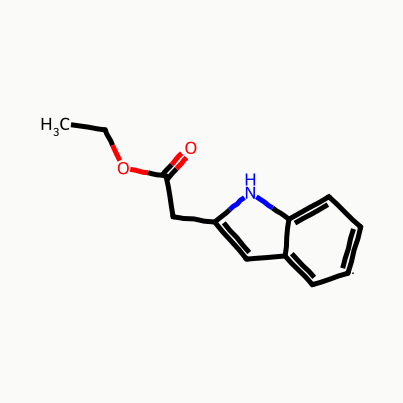 CCOC(=O)Cc1cc2c[c]ccc2[nH]1